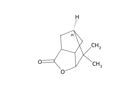 CC1(C)C2OC(=O)C3C[C@H]1CC32